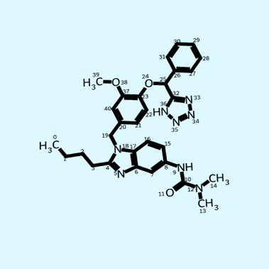 CCCCc1nc2cc(NC(=O)N(C)C)ccc2n1Cc1ccc(OC(c2ccccc2)c2nnn[nH]2)c(OC)c1